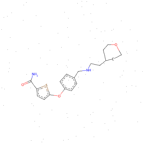 NC(=O)c1ccc(Oc2ccc(CNCCC3CCOCC3)cc2)s1